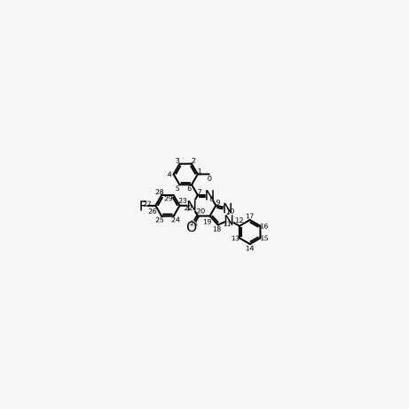 Cc1ccccc1-c1nc2nn(-c3ccccc3)cc2c(=O)n1-c1ccc(F)cc1